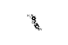 CC(C)N1CC2CC(CN(C(=O)Cc3ccc(N)cc3)C2)C1